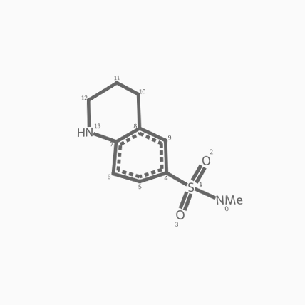 CNS(=O)(=O)c1ccc2c(c1)CCCN2